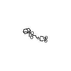 CCC1(OC(=O)CCN2CCS(=O)(=O)CC2)C2CC3CC(C2)CC1C3